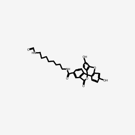 O=CNCCCCCCCCNC(=O)c1ccc2c(c1)C(=O)OC21c2ccc(O)cc2Oc2cc(O)ccc21